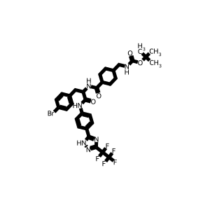 CC(C)(C)OC(=O)NCC1CCC(C(=O)NC(Cc2ccc(Br)cc2)C(=O)Nc2ccc(-c3nc(C(F)(F)C(F)(F)F)n[nH]3)cc2)CC1